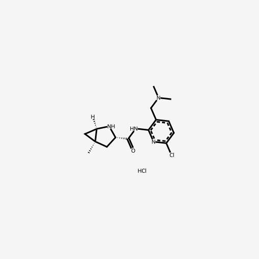 CN(C)Cc1ccc(Cl)nc1NC(=O)[C@@H]1C[C@@]2(C)C[C@H]2N1.Cl